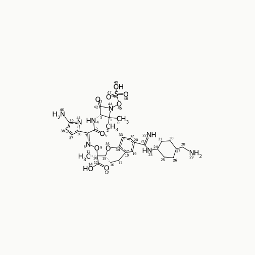 CC1(C)[C@H](NC(=O)/C(=N\O[C@](C)(C(=O)O)[C@H]2CCc3cc(C(=N)NC4CCC(CN)CC4)ccc3O2)c2csc(N)n2)C(=O)N1OS(=O)(=O)O